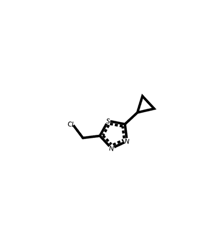 ClCc1nnc(C2CC2)s1